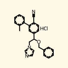 Cc1ccccc1-c1cc(C(Cn2ccnc2)OCc2ccccc2)ccc1C#N.Cl